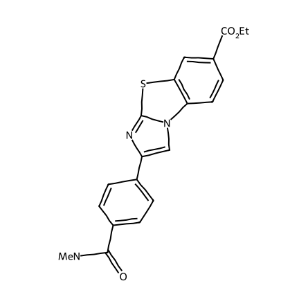 CCOC(=O)c1ccc2c(c1)sc1nc(-c3ccc(C(=O)NC)cc3)cn12